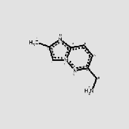 Cc1cn2nc(CN)ccc2n1